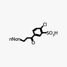 CCCCCCCCCCCC(=O)c1ccc(Cl)c(S(=O)(=O)O)c1